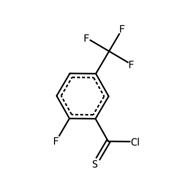 Fc1ccc(C(F)(F)F)cc1C(=S)Cl